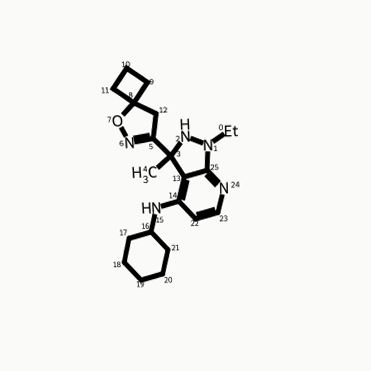 CCN1NC(C)(C2=NOC3(CCC3)C2)c2c(NC3CCCCC3)ccnc21